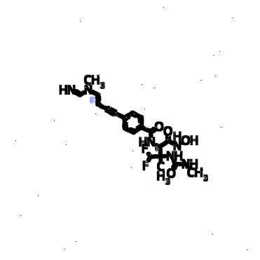 CNC(=O)NC(C)(C(F)F)[C@H](NC(=O)c1ccc(C#C/C=C/N(C)C=N)cc1)C(=O)NO